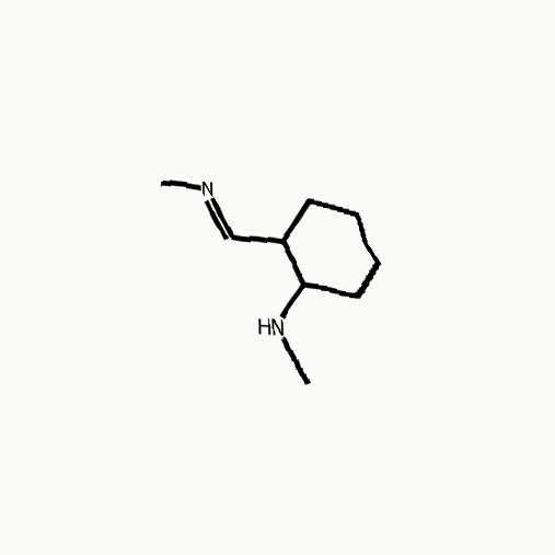 C/N=C/C1CCCCC1NC